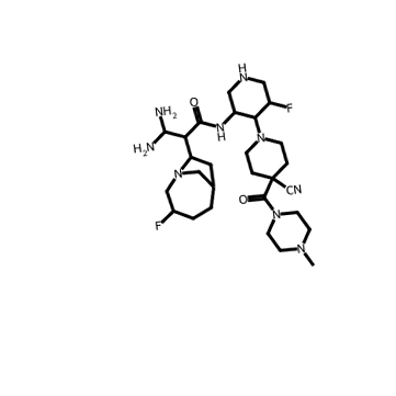 CN1CCN(C(=O)C2(C#N)CCN(C3C(F)CNCC3NC(=O)C(C(N)N)C3CC4CCC(F)CN3C4)CC2)CC1